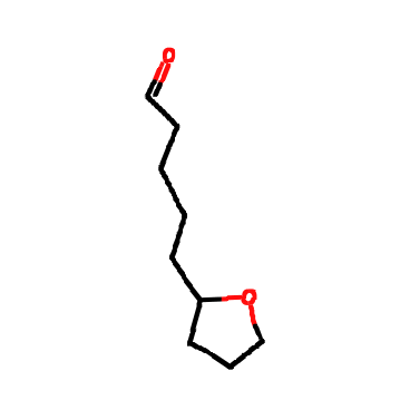 O=CCCCCC1CCCO1